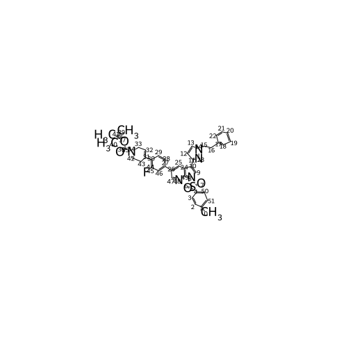 Cc1ccc(S(=O)(=O)n2cc(-c3ccn(CCc4ccccc4)n3)c3cc(-c4ccc(C5=CCN(C(=O)OC(C)(C)C)CC5)c(F)c4)cnc32)cc1